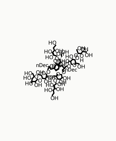 CCCCCCCCCCC(CO[C@@H]1OC(CO)[C@@H](O[C@H]2OC(CO)[C@@H](O)C(O)C2O)C(O)C1O)(CO[C@H](O)/C(O)=C(/O)[C@@H](CCO)O[C@H](O)/C(O)=C(/O)[C@H](O)CCO)Cc1ccc(C[C@](CCCCCCCCCC)(CO[C@@H]2OC(CO)[C@@H](OOC(CO)[C@@H](O)C(O)[C@@H](C)O)C(O)C2O)CO[C@@H]2OC(CO)[C@@H](O[C@H](O)/C(O)=C(\O)[C@H](O)CCO)[C@H](O)C2O)cc1